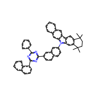 CC1(C)CCC(C)(C)c2cc3c(cc21)c1cc2ccccc2cc1n3-c1ccc2ccc(-c3nc(-c4ccccc4)nc(-c4cccc5ccccc45)n3)cc2c1